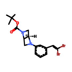 CC(C)(C)OC(=O)N1C[C@@H]2C1CN2c1cccc(C=C(Br)Br)c1